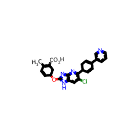 CC1=C(C(=O)O)CC(Oc2nc3nc(C4C=CC(c5cccnc5)=CC4)c(Cl)cc3[nH]2)C=C1